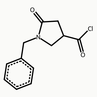 O=C(Cl)C1CC(=O)N(Cc2ccccc2)C1